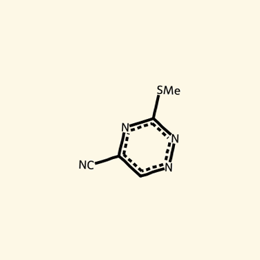 CSc1nncc(C#N)n1